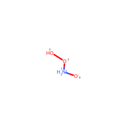 [O-][NH2+]OO